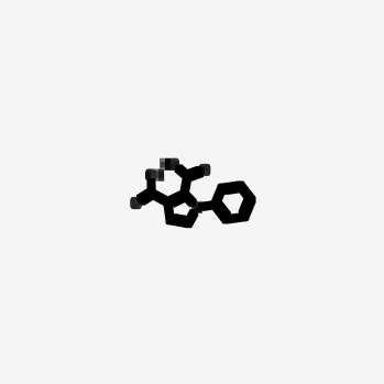 O=C(O)c1ccn(-c2ccccc2)c1C(=O)O